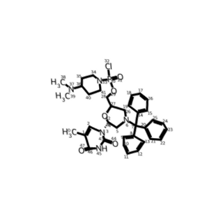 Cc1cn([C@H]2CN(C(c3ccccc3)(c3ccccc3)c3ccccc3)CC(COP(=O)(Cl)N3CCC(N(C)C)CC3)O2)c(=O)[nH]c1=O